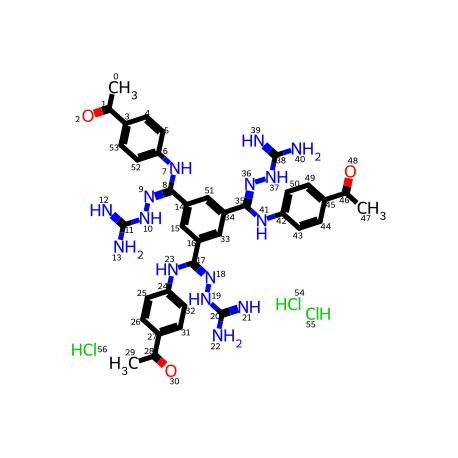 CC(=O)c1ccc(NC(=NNC(=N)N)c2cc(C(=NNC(=N)N)Nc3ccc(C(C)=O)cc3)cc(C(=NNC(=N)N)Nc3ccc(C(C)=O)cc3)c2)cc1.Cl.Cl.Cl